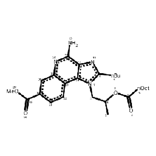 CCCCCCCCC(=O)OC(C)Cn1c(CCCC)nc2c(N)nc3cc(C(=O)OC)ccc3c21